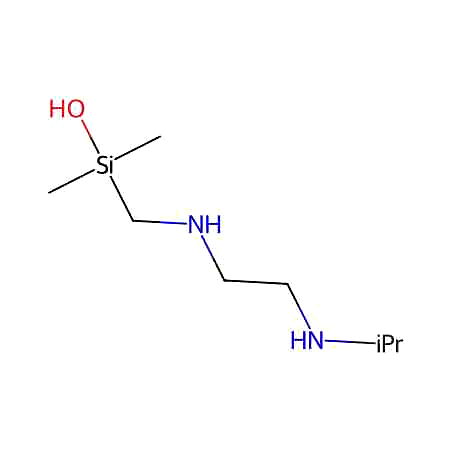 CC(C)NCCNC[Si](C)(C)O